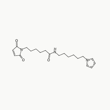 O=C(CCCCCN1C(=O)C=CC1=O)NCCCCCCn1cccc1